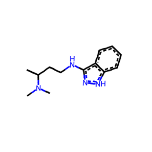 CC(CCNc1n[nH]c2ccccc12)N(C)C